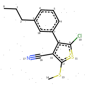 CCCc1cccc(-c2c(Cl)sc(SC)c2C#N)c1